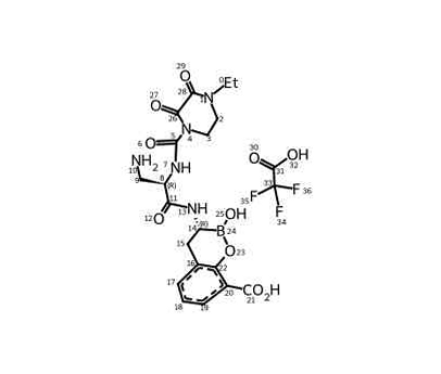 CCN1CCN(C(=O)N[C@H](CN)C(=O)N[C@H]2Cc3cccc(C(=O)O)c3OB2O)C(=O)C1=O.O=C(O)C(F)(F)F